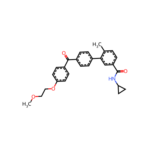 COCCOc1ccc(C(=O)c2ccc(-c3cc(C(=O)NC4CC4)ccc3C)cc2)cc1